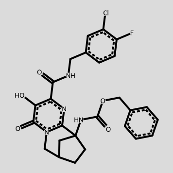 O=C(NC12CCC(Cn3c1nc(C(=O)NCc1ccc(F)c(Cl)c1)c(O)c3=O)C2)OCc1ccccc1